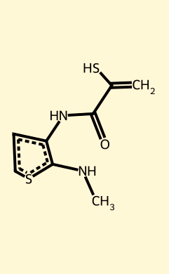 C=C(S)C(=O)Nc1ccsc1NC